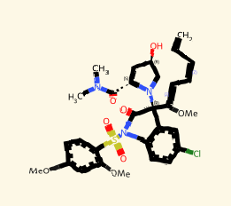 C=C/C=C\C=C(/OC)[C@@]1(N2C[C@H](O)C[C@H]2C(=O)N(C)C)C(=O)N(S(=O)(=O)c2ccc(OC)cc2OC)c2ccc(Cl)cc21